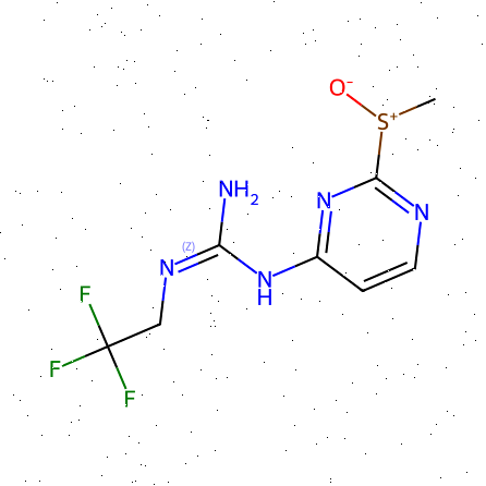 C[S+]([O-])c1nccc(N/C(N)=N\CC(F)(F)F)n1